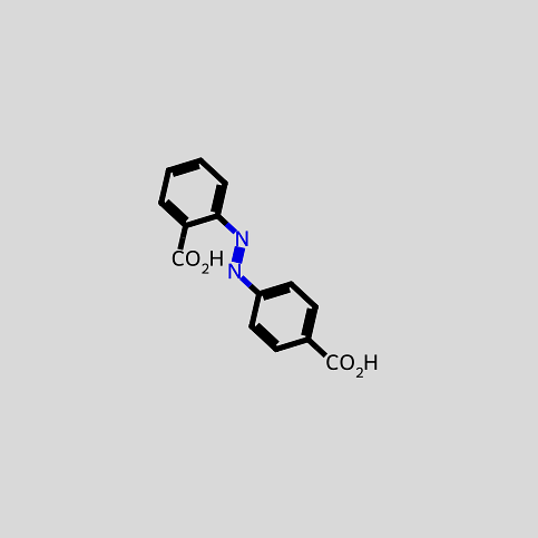 O=C(O)c1ccc(N=Nc2ccccc2C(=O)O)cc1